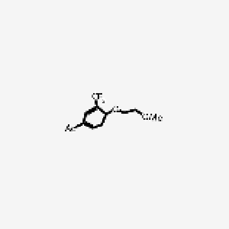 COCCOC1CC=C(C(C)=O)C=C1C(F)(F)F